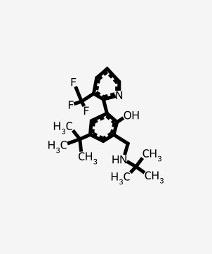 CC(C)(C)NCc1cc(C(C)(C)C)cc(-c2ncccc2C(F)(F)F)c1O